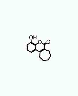 O=c1oc2c(O)cccc2c2c1CCCCC2